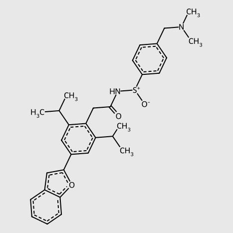 CC(C)c1cc(-c2cc3ccccc3o2)cc(C(C)C)c1CC(=O)N[S+]([O-])c1ccc(CN(C)C)cc1